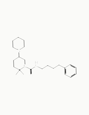 CC1(C)CCC(N2CCCCC2)CN1C(=O)NCCCCc1ccccc1